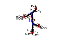 CCCCCCCCCCCOC(=O)C(C)(C)CCCCN(CCCCCCC(C)(C)C(=O)OC(CCCCCCCC)CCCCCCCC)CCNC(=O)CCC(=O)NCCN(CCCCCCC(C)(C)C(=O)OC(CCCCCCCC)CCCCCCCC)CCCCC(C)(C)C(=O)OCCCCCCCCCCC